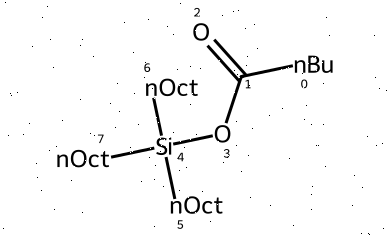 [CH2]CCCC(=O)O[Si](CCCCCCCC)(CCCCCCCC)CCCCCCCC